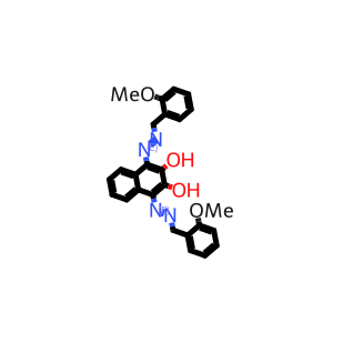 COc1ccccc1C/N=N/c1c(O)c(O)c(/N=N/Cc2ccccc2OC)c2ccccc12